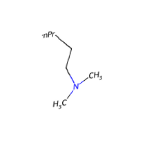 CC[CH]CCN(C)C